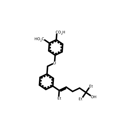 CCC(=CCCC(O)(CC)CC)c1cccc(COc2ccc(C(=O)O)c(C(=O)O)c2)c1